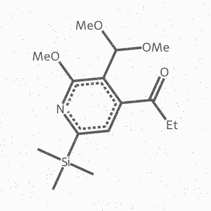 CCC(=O)c1cc([Si](C)(C)C)nc(OC)c1C(OC)OC